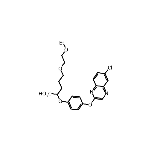 CCOCCOCCCC(Oc1ccc(Oc2cnc3cc(Cl)ccc3n2)cc1)C(=O)O